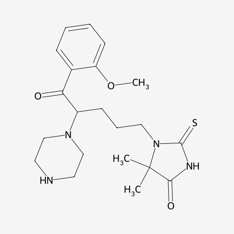 COc1ccccc1C(=O)C(CCCN1C(=S)NC(=O)C1(C)C)N1CCNCC1